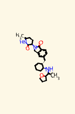 C=C1CCC(N2Cc3cc(C[C@H]4CCCC[C@@H]4NC(C)C4CCCO4)ccc3C2=O)C(=O)N1